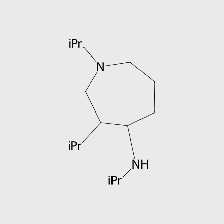 CC(C)NC1CCCN(C(C)C)CC1C(C)C